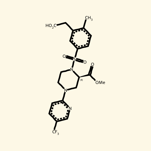 COC(=O)[C@H]1CN(c2ccc(C(F)(F)F)cn2)CCN1S(=O)(=O)c1ccc(C)c(CC(=O)O)c1